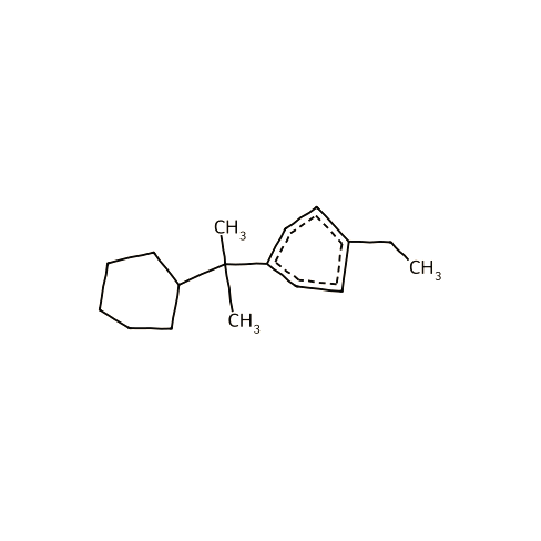 CCc1ccc(C(C)(C)C2CCCCC2)cc1